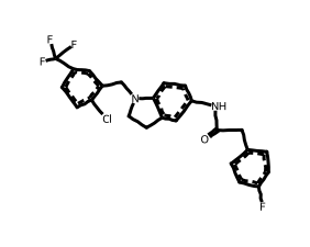 O=C(Cc1ccc(F)cc1)Nc1ccc2c(c1)CCN2Cc1cc(C(F)(F)F)ccc1Cl